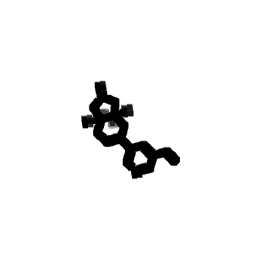 C=Cc1cncc(C2=CC[C@@H]3CNC[C@@H]3C2)c1